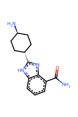 NC(=O)c1cccc2[nH]c([C@H]3CC[C@H](N)CC3)nc12